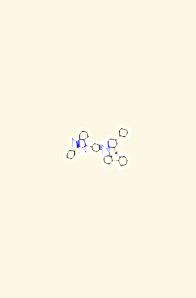 CC1(C)c2ccccc2-c2cccc(N(c3ccc(-c4ccccc4)cc3)c3ccc(-c4nc(-c5ccccc5)nc5ccccc45)cc3)c21